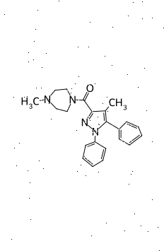 Cc1c(C(=O)N2CCN(C)CC2)nn(-c2ccccc2)c1-c1ccccc1